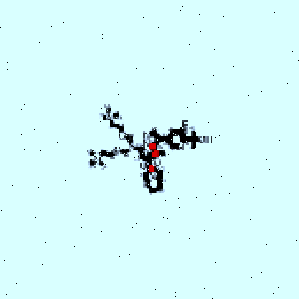 CC(C)(C)OC(=O)N1C2CCC1CC(c1cc(N(COCC[Si](C)(C)C)COCC[Si](C)(C)C)n3ncc(-c4cnc(C(C)(C)O)c(F)c4)c3n1)C2